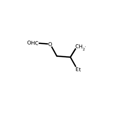 [CH2]C(CC)COC=O